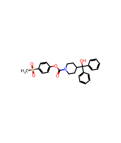 CS(=O)(=O)c1ccc(OC(=O)N2CCC(C(O)(c3ccccc3)c3ccccc3)CC2)cc1